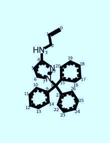 C=CCNc1ccn(C(c2ccccc2)(c2ccccc2)c2ccccc2)n1